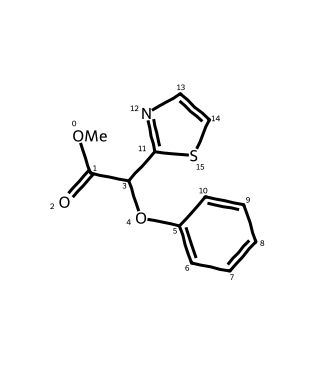 COC(=O)C(Oc1ccccc1)c1nccs1